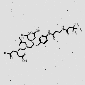 CC(C)(C)CC(=O)NCCC(=O)Nc1ccc(C[C@H](CN(CCN(CC(=O)O)CC(=O)O)CC(=O)O)N(CC(=O)O)CC(=O)O)cc1